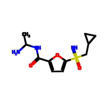 CC(N)NC(=O)c1ccc(S(=N)(=O)CC2CC2)o1